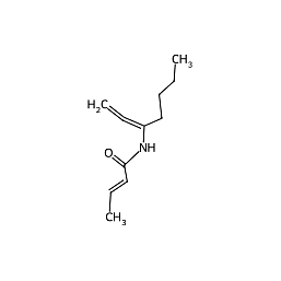 C=C=C(CCCC)NC(=O)/C=C/C